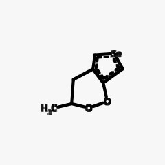 CC1Cc2c[se]cc2OO1